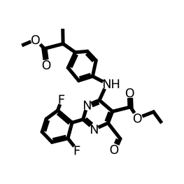 CCOC(=O)c1c(C=O)nc(-c2c(F)cccc2F)nc1Nc1ccc(C(C)C(=O)OC)cc1